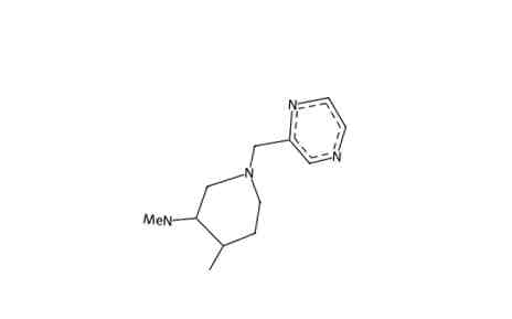 CNC1CN(Cc2cnccn2)CCC1C